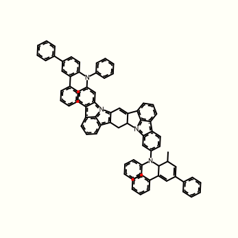 CC1C=C(c2ccccc2)C=C(c2ccccc2)C1N(c1ccccc1)c1ccc2c3cccc4c3n(c2c1)C1Cc2c(n3c5cc(N(c6ccccc6)c6ccc(-c7ccccc7)cc6-c6ccccc6)ccc5c5cccc2c53)C=C41